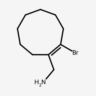 NC/C1=C(\Br)CCCCCCC1